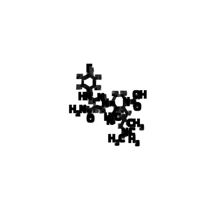 CN(C)CC(C)(C)CC1[C@@H](C#N)[C@H](n2cc(C(N)=O)c(Nc3ccc(F)cc3)n2)CCN1C(=O)O